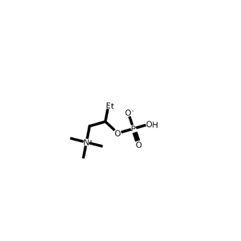 CCC(C[N+](C)(C)C)OP(=O)([O-])O